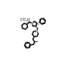 C[C@@H](Cc1ccccc1)CC1CCN(C[C@H]2CN([C@@H](C(=O)O)C3CCCCC3)C[C@@H]2c2ccccc2)CC1